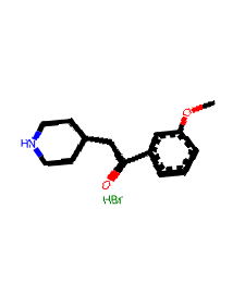 Br.COc1cccc(C(=O)CC2CCNCC2)c1